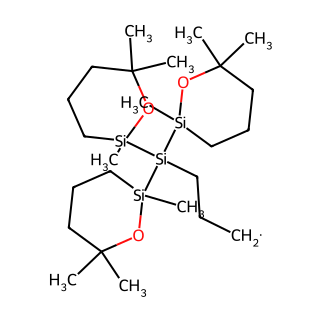 [CH2]CC[Si]([Si]1(C)CCCC(C)(C)O1)([Si]1(C)CCCC(C)(C)O1)[Si]1(C)CCCC(C)(C)O1